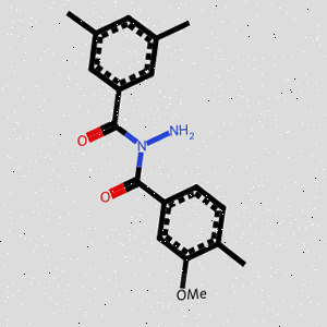 COc1cc(C(=O)N(N)C(=O)c2cc(C)cc(C)c2)ccc1C